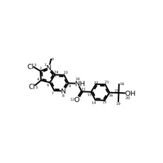 Cn1c(Cl)c(Cl)c2cnc(NC(=O)c3ccc(C(C)(C)O)cc3)cc21